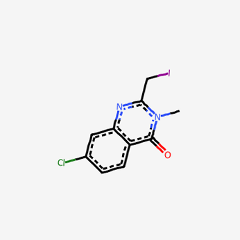 Cn1c(CI)nc2cc(Cl)ccc2c1=O